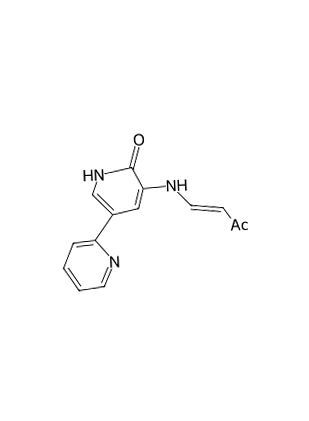 CC(=O)/C=C/Nc1cc(-c2ccccn2)c[nH]c1=O